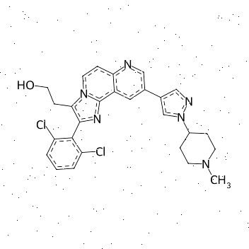 CN1CCC(n2cc(-c3cnc4ccn5c(CCO)c(-c6c(Cl)cccc6Cl)nc5c4c3)cn2)CC1